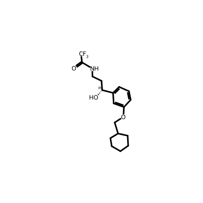 O=C(NCC[C@@H](O)c1cccc(OCC2CCCCC2)c1)C(F)(F)F